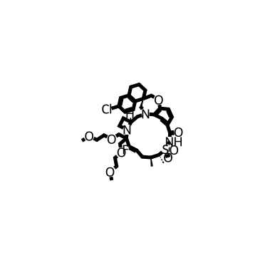 COCCOCC1(COCCOC)/C(F)=C/C[C@H](C)[C@@H](C)S(=O)(=O)NC(=O)c2ccc3c(c2)N(C[C@@H]2CCN21)C[C@@]1(CCCc2cc(Cl)ccc21)CO3